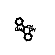 COc1ccccc1C(C)Cc1ccccc1O